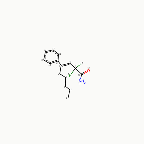 CCCCCC(=CC(F)(F)C(N)=O)c1ccccc1